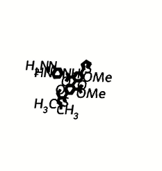 COC(=O)c1cc2c(cc1-c1cc(OC)c(-c3cccs3)cc1C(=O)Nc1ccc3[nH]c(N)nc3c1)OCc1c-2sc(C)c1C